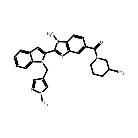 Cn1cc(Cn2c(-c3nc4cc(C(=O)N5CCCC(N)C5)ccc4n3C)cc3ccccc32)cn1